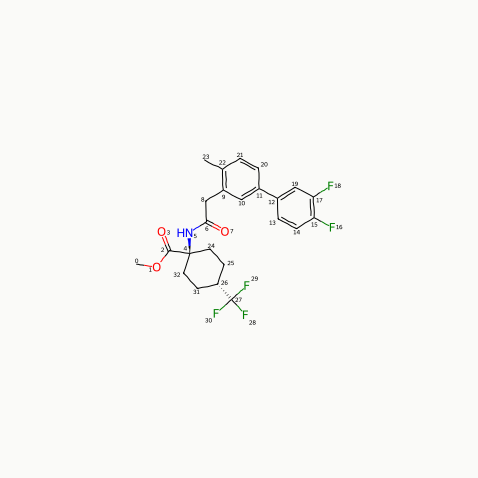 COC(=O)[C@]1(NC(=O)Cc2cc(-c3ccc(F)c(F)c3)ccc2C)CC[C@H](C(F)(F)F)CC1